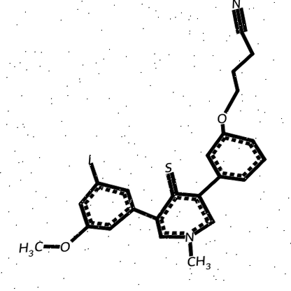 COc1cc(I)cc(-c2cn(C)cc(-c3cccc(OCCCC#N)c3)c2=S)c1